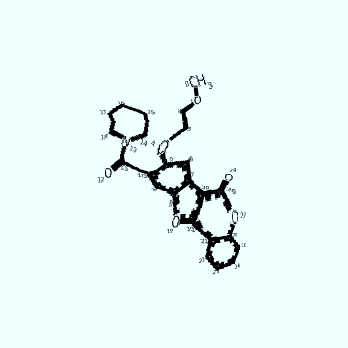 COCCOc1cc2c(cc1C(=O)N1CCCCC1)oc1c3ccccc3oc(=O)c21